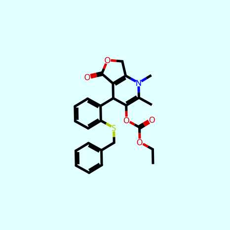 CCOC(=O)OC1=C(C)N(C)C2=C(C(=O)OC2)C1c1ccccc1SCc1ccccc1